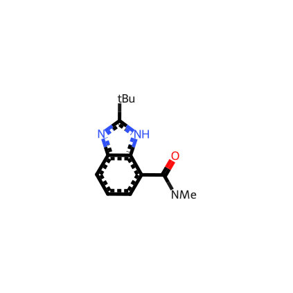 CNC(=O)c1cccc2nc(C(C)(C)C)[nH]c12